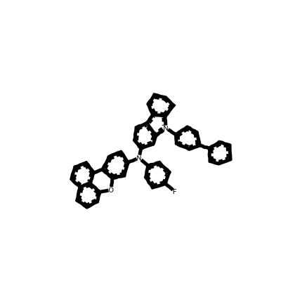 Fc1ccc(N(c2ccc3c(c2)Oc2cccc4cccc-3c24)c2ccc3c4ccccc4n(-c4ccc(-c5ccccc5)cc4)c3c2)cc1